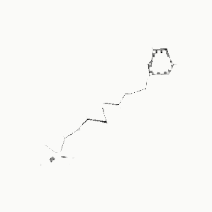 O=P(O)(O)CCCCNCCCc1ccccc1